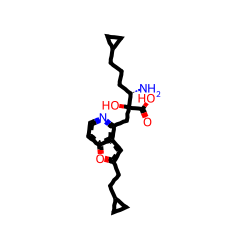 N[C@@H](CCCC1CC1)C(O)(Cc1nccc2oc(CCC3CC3)cc12)C(=O)O